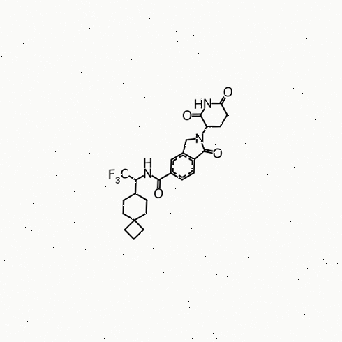 O=C1CCC(N2Cc3cc(C(=O)NC(C4CCC5(CCC5)CC4)C(F)(F)F)ccc3C2=O)C(=O)N1